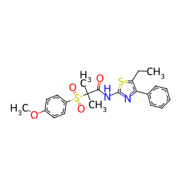 CCc1sc(NC(=O)C(C)(C)S(=O)(=O)c2ccc(OC)cc2)nc1-c1ccccc1